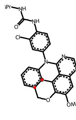 COc1cc2ncnc(N(c3ccccc3)c3ccc(NC(=O)NC(C)C)c(Cl)c3)c2c2c1OCCO2